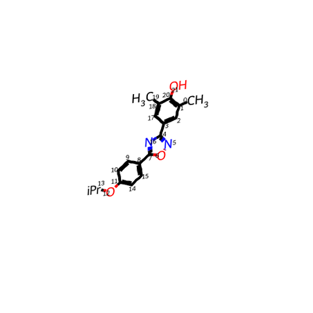 Cc1cc(-c2noc(-c3ccc(OC(C)C)cc3)n2)cc(C)c1O